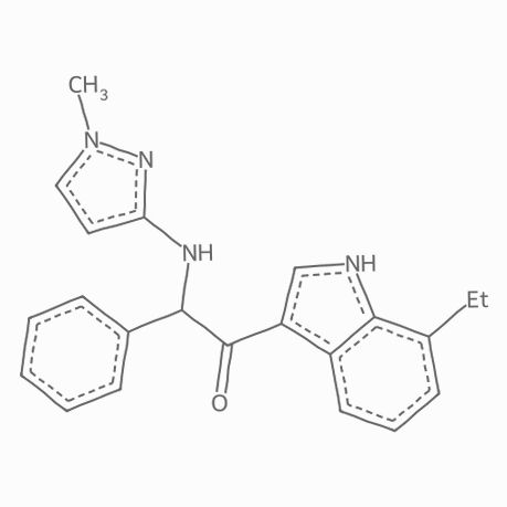 CCc1cccc2c(C(=O)C(Nc3ccn(C)n3)c3ccccc3)c[nH]c12